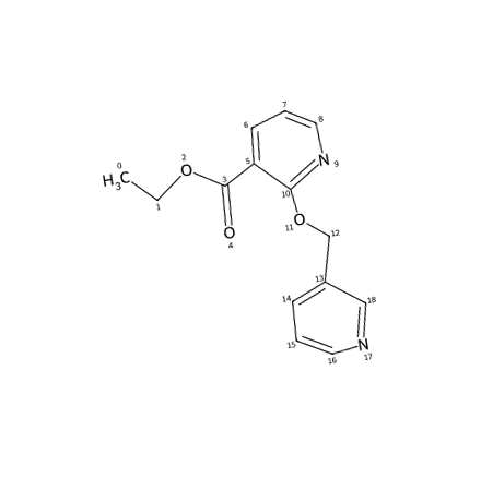 CCOC(=O)c1cccnc1OCc1cccnc1